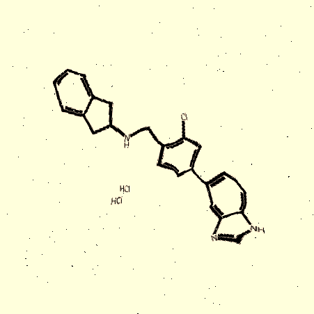 Cl.Cl.Clc1cc(-c2ccc3[nH]cnc3c2)ccc1CNC1Cc2ccccc2C1